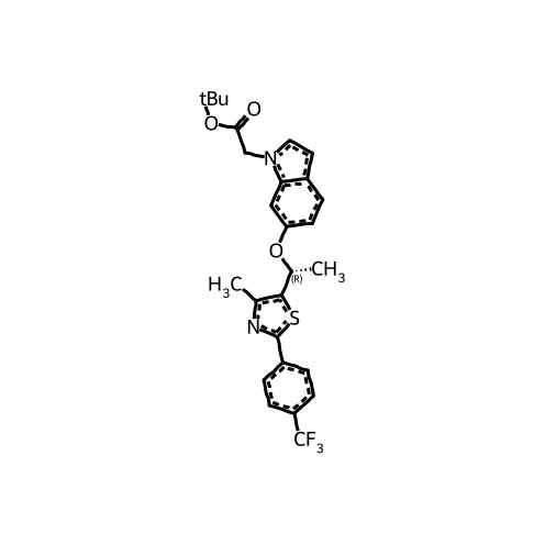 Cc1nc(-c2ccc(C(F)(F)F)cc2)sc1[C@@H](C)Oc1ccc2ccn(CC(=O)OC(C)(C)C)c2c1